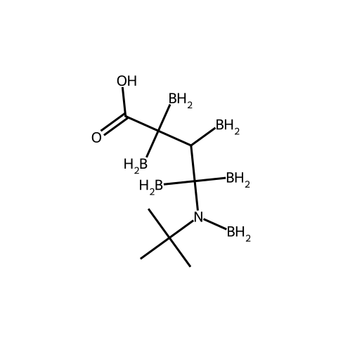 BC(C(B)(B)C(=O)O)C(B)(B)N(B)C(C)(C)C